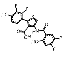 Cc1ccc(-c2scc(NC(=O)c3cc(F)c(F)cc3O)c2C(=O)O)c(F)c1F